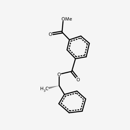 COC(=O)c1cccc(C(=O)O[C@@H](C)c2ccccc2)c1